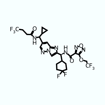 O=C(CCC(F)(F)F)NC(c1cnn2cc([C@@H](NC(=O)c3nonc3OCC(F)(F)F)C3CCC(F)(F)CC3)nc2c1)C1CC1